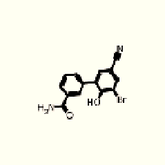 N#Cc1cc(Br)c(O)c(-c2cccc(C(N)=O)c2)c1